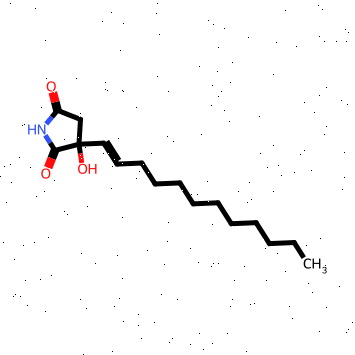 CCCCCCCCCCC=CC1(O)CC(=O)NC1=O